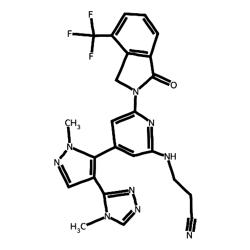 Cn1cnnc1-c1cnn(C)c1-c1cc(NCCC#N)nc(N2Cc3c(cccc3C(F)(F)F)C2=O)c1